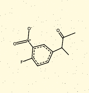 CC(=O)C(C)c1ccc(F)c([N+](=O)[O-])c1